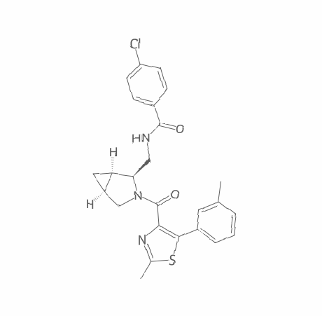 Cc1cccc(-c2sc(C)nc2C(=O)N2C[C@H]3C[C@H]3[C@H]2CNC(=O)c2ccc(Cl)cc2)c1